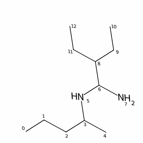 CCCC(C)NC(N)C(CC)CC